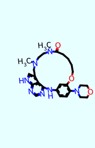 CN1CCN(C)C(=O)CCCCOc2cc(ccc2N2CCOCC2)Nc2ncnc3[nH]cc(c23)C1